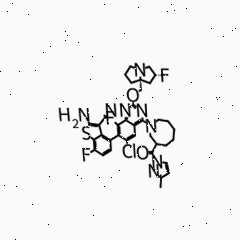 Cc1ccn(C(=O)C2CCCCCN(c3nc(OC[C@@]45CCCN4C[C@H](F)C5)nc4c(F)c(-c5ccc(F)c6sc(N)c(C#N)c56)c(Cl)cc34)C2)n1